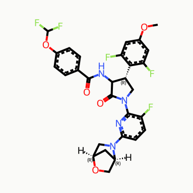 COc1cc(F)c([C@@H]2CN(c3nc(N4C[C@H]5C[C@@H]4CO5)ccc3F)C(=O)C2NC(=O)c2ccc(OC(F)F)cc2)c(F)c1